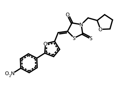 O=C1C(=Cc2ccc(-c3ccc([N+](=O)[O-])cc3)o2)SC(=S)N1CC1CCCO1